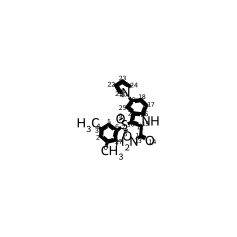 Cc1cc(C)cc(S(=O)(=O)c2c(C(N)=O)[nH]c3ccc(-n4cccc4)cc23)c1